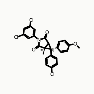 COc1ccc([C@@]2(c3ccc(Cl)cc3)C3C(=O)N(c4cc(Cl)cc(Cl)c4)C(=O)[C@]32C)cc1